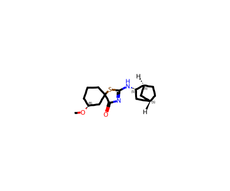 CO[C@@H]1CCCC2(C1)SC(N[C@H]1C[C@H]3CC[C@H]1C3)=NC2=O